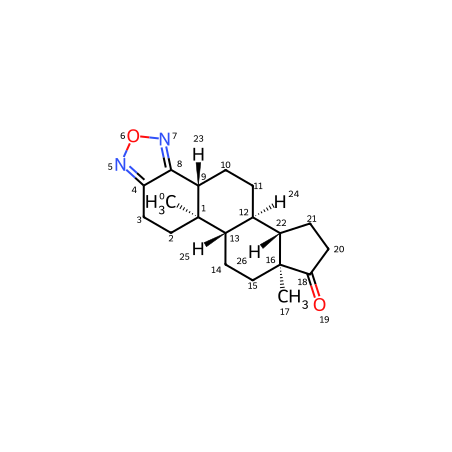 C[C@]12CCc3nonc3[C@@H]1CC[C@@H]1[C@@H]2CC[C@]2(C)C(=O)CC[C@@H]12